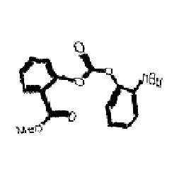 CCCCc1ccccc1OC(=O)Oc1ccccc1C(=O)OC